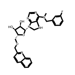 CN(Cc1cccc(F)c1)c1ncnc2c1NCN2[C@@H]1O[C@H](COCc2ccc3ccccc3n2)[C@@H](O)[C@H]1O